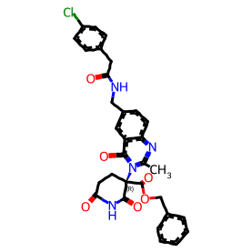 Cc1nc2ccc(CNC(=O)Cc3ccc(Cl)cc3)cc2c(=O)n1[C@]1(C(=O)OCc2ccccc2)CCC(=O)NC1=O